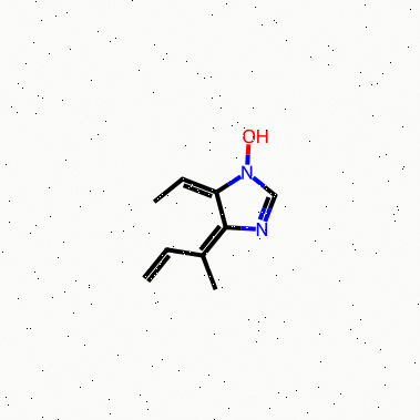 C=C/C(C)=c1/ncn(O)/c1=C/C